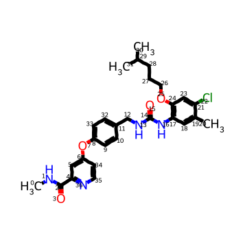 CNC(=O)c1cc(Oc2ccc(CNC(=O)Nc3cc(C)c(Cl)cc3OCCCC(C)C)cc2)ccn1